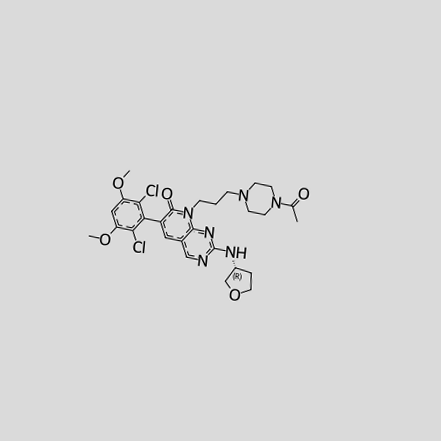 COc1cc(OC)c(Cl)c(-c2cc3cnc(N[C@@H]4CCOC4)nc3n(CCCN3CCN(C(C)=O)CC3)c2=O)c1Cl